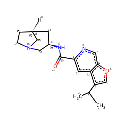 CC(C)c1coc2cnc(C(=O)N[C@@H]3C[C@@H]4CCN(C4)C3)cc12